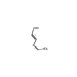 CC/C=N\C=C\OC